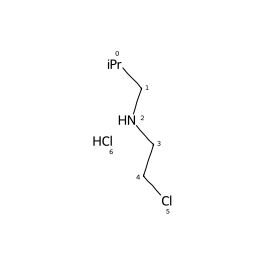 CC(C)CNCCCl.Cl